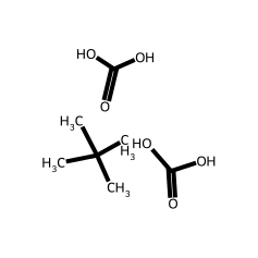 CC(C)(C)C.O=C(O)O.O=C(O)O